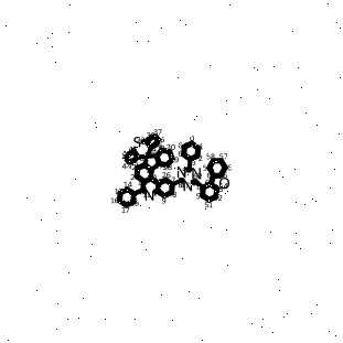 c1ccc(-c2nc(-c3ccc4nc(-c5ccccc5)c5ccc6c(c5c4c3)-c3ccccc3C63c4ccccc4Sc4ccccc43)nc(-c3cccc4oc5ccccc5c34)n2)cc1